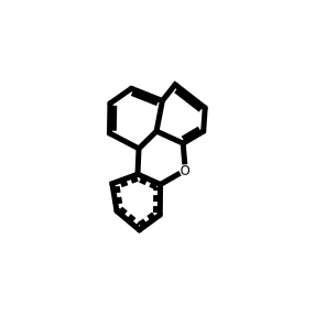 C1=CC2=CC=CC3c4ccccc4OC(=C1)C23